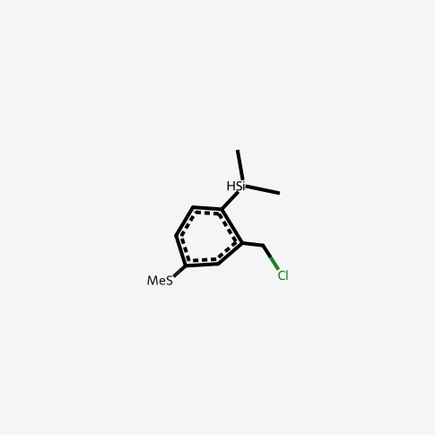 CSc1ccc([SiH](C)C)c(CCl)c1